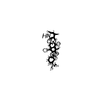 Cc1cc(C)c(CN2CCc3c(Cl)c4c(c(C)c3C2=O)OC(C)([C@@H]2CCC[C@H](N(C)C)C2)O4)c(=O)[nH]1